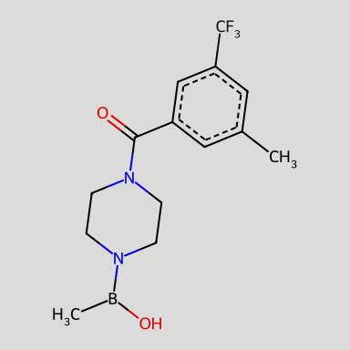 CB(O)N1CCN(C(=O)c2cc(C)cc(C(F)(F)F)c2)CC1